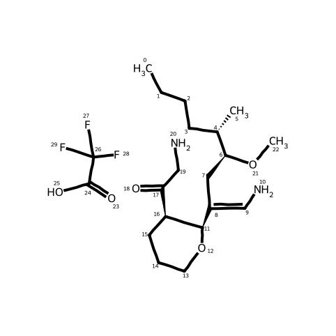 CCCC[C@H](C)[C@H](C/C(=C\N)[C@H]1OCCC[C@H]1C(=O)CN)OC.O=C(O)C(F)(F)F